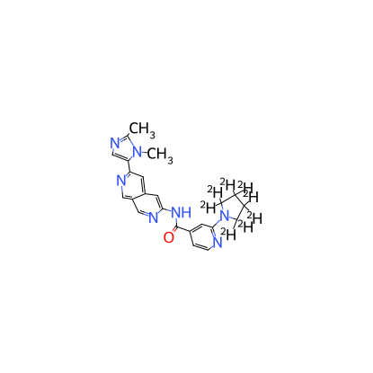 [2H]C1([2H])N(c2cc(C(=O)Nc3cc4cc(-c5cnc(C)n5C)ncc4cn3)ccn2)C([2H])([2H])C([2H])([2H])C1([2H])[2H]